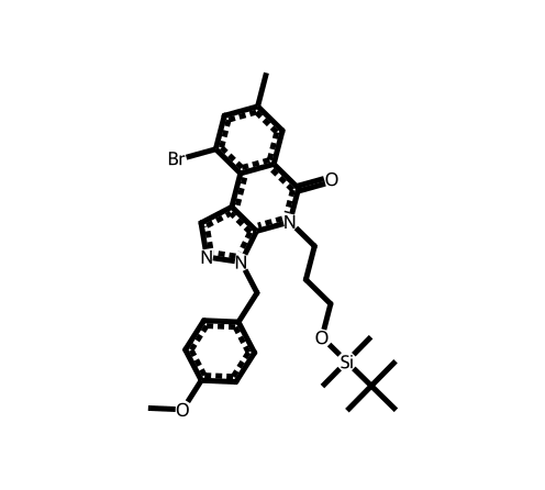 COc1ccc(Cn2ncc3c4c(Br)cc(C)cc4c(=O)n(CCCO[Si](C)(C)C(C)(C)C)c32)cc1